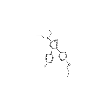 CCCOc1ccc(-c2nnc(N(CC)CCC)nc2-c2ccc(F)cc2)cc1